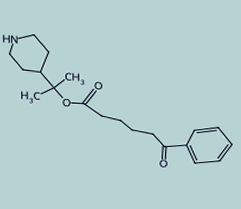 CC(C)(OC(=O)CCCCC(=O)c1ccccc1)C1CCNCC1